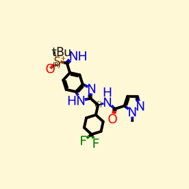 Cn1nccc1C(=O)N[C@H](c1nc2cc(C(=N)[S@@+]([O-])C(C)(C)C)ccc2[nH]1)C1CCC(F)(F)CC1